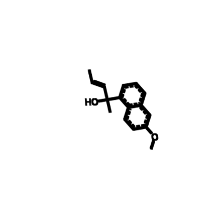 CC=CC(C)(O)c1cccc2cc(OC)ccc12